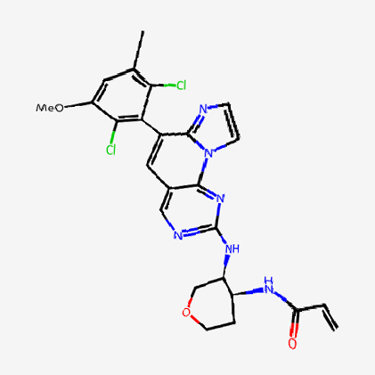 C=CC(=O)N[C@H]1CCOC[C@H]1Nc1ncc2cc(-c3c(Cl)c(C)cc(OC)c3Cl)c3nccn3c2n1